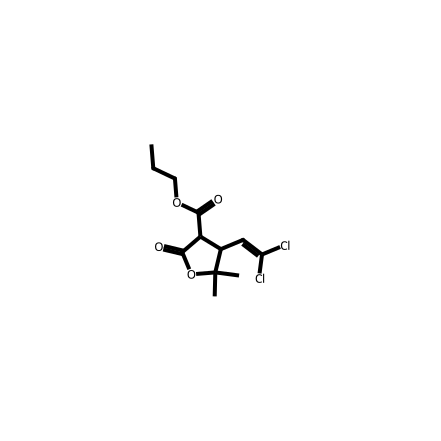 CCCOC(=O)C1C(=O)OC(C)(C)C1C=C(Cl)Cl